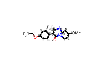 COc1ccn2c(=O)c(-c3ccc(OCC(F)(F)F)cc3)c(C(F)(F)F)nc2c1